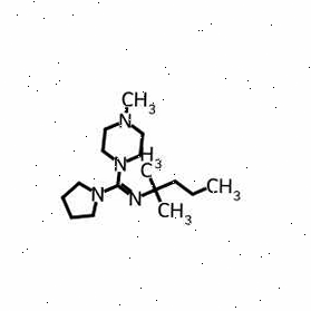 CCCC(C)(C)/N=C(/N1CCCC1)N1CCN(C)CC1